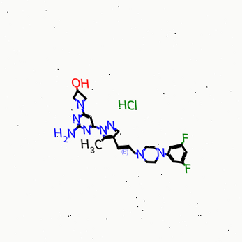 Cc1c(/C=C/CN2CCN(c3cc(F)cc(F)c3)CC2)cnn1-c1cc(N2CC(O)C2)nc(N)n1.Cl